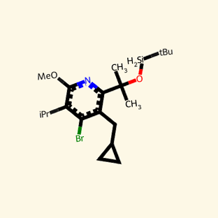 COc1nc(C(C)(C)O[SiH2]C(C)(C)C)c(CC2CC2)c(Br)c1C(C)C